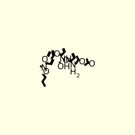 C=C.C=CC.C=CC(=O)N(C)OCCCC.C=CC(=O)NCO.C=CC(N)=O.CC(C)=O.CC(C)=O